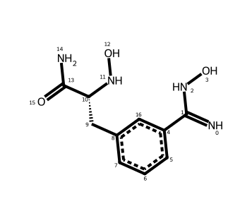 N=C(NO)c1cccc(C[C@@H](NO)C(N)=O)c1